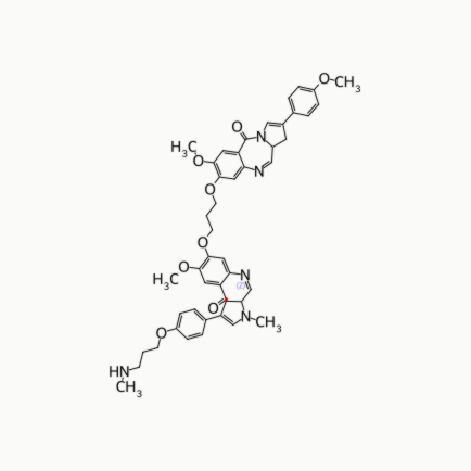 CNCCCOc1ccc(C2=CN(C)C(/C=N\c3cc(OCCCOc4cc5c(cc4OC)C(=O)N4C=C(c6ccc(OC)cc6)CC4C=N5)c(OC)cc3C=O)C2)cc1